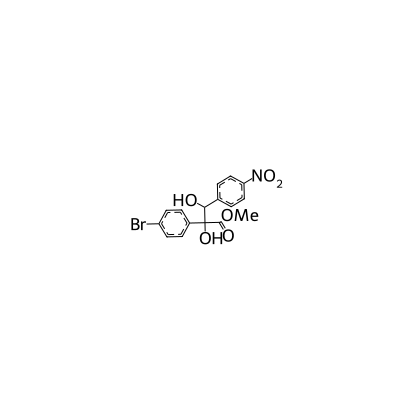 COC(=O)C(O)(c1ccc(Br)cc1)C(O)c1ccc([N+](=O)[O-])cc1